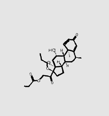 CCC(=O)OCC(=O)[C@@]1(OC(=O)CC)CC[C@H]2[C@@H]3C[C@H](C)C4=CC(=O)C=C[C@]4(C)[C@H]3[C@@H](O)C[C@@]21C